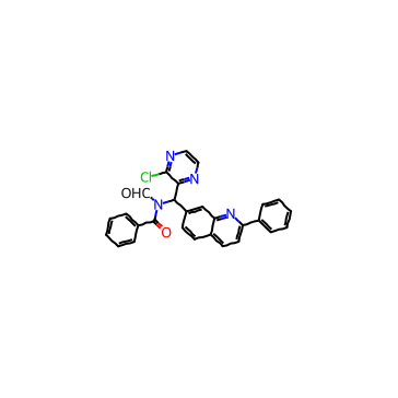 O=CN(C(=O)c1ccccc1)C(c1ccc2ccc(-c3ccccc3)nc2c1)c1nccnc1Cl